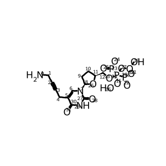 NCC#CCc1cn([C@H]2CC[C@@H](COP(OO)(OOO)(P(=O)=O)P(=O)=O)O2)c(=O)[nH]c1=O